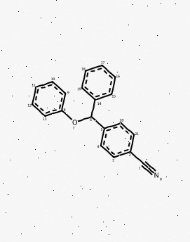 N#Cc1ccc(C(Oc2c[c]ccc2)c2ccccc2)cc1